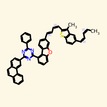 C/C=C\C=C/c1ccc2sc(/C=C\C=C\c3ccc4c(c3)oc3cccc(-c5nc(-c6ccccc6)nc(-c6ccc7ccc8ccccc8c7c6)n5)c34)c(C)c2c1